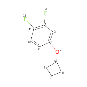 Fc1[c]c(OC2CCC2)ccc1F